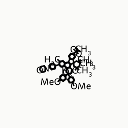 COc1ccc(C2(c3ccc(OC)cc3)C=Cc3c4c(c5cc(C)c(-c6ccc(N7CCOCC7)cc6)cc5c3O2)-c2ccc(S(C)(=O)=O)cc2C42CC(C)(C)CC(C)(C)C2)cc1